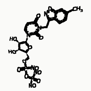 Cc1ccc2c(Cn3c(=O)ccn([C@@H]4O[C@H](COP(=O)(N=O)OP(=O)(N=O)N=O)[C@H](O)[C@@H]4O)c3=O)noc2c1